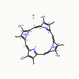 CCC1=C(C)c2cc3[nH]c(cc4nc(cc5[nH]c(cc1n2)c(C)c5CC)C(CC)=C4C)c(C)c3CC.[V]